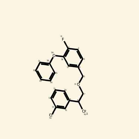 Fc1ccc(COCC(c2cccc(Cl)c2)C(F)(F)F)cc1Oc1ccccc1